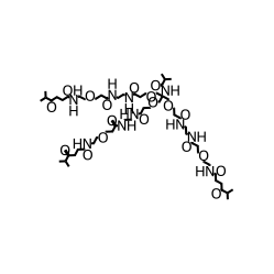 CC(C)C(=O)CCC(=O)NCCOCCC(=O)NCCNC(=O)CCOCC(COCCC(=O)NCCNC(=O)CCOCCNC(=O)CCC(=O)C(C)C)(COCCC(=O)NCCNC(=O)CCOCCNC(O)CCC(=O)C(C)C)NC(=O)C(C)C